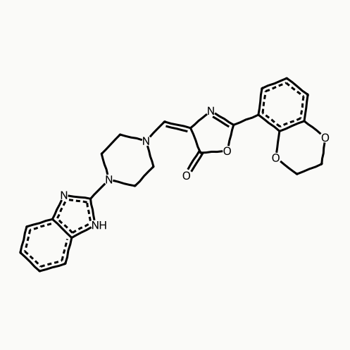 O=C1OC(c2cccc3c2OCCO3)=N/C1=C/N1CCN(c2nc3ccccc3[nH]2)CC1